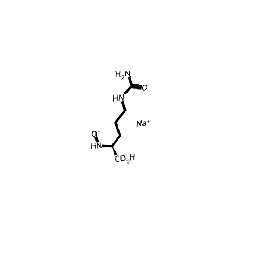 NC(=O)NCCC[C@H](N[O-])C(=O)O.[Na+]